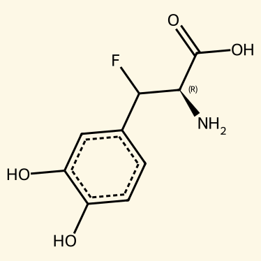 N[C@H](C(=O)O)C(F)c1ccc(O)c(O)c1